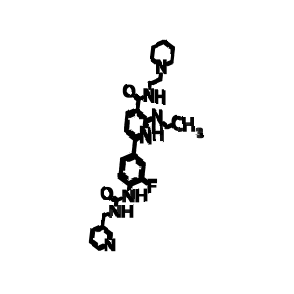 CCNc1nc(-c2ccc(NC(=O)NCc3cccnc3)c(F)c2)ccc1C(=O)NCCN1CCCCC1